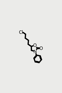 O=C1OC(CCCCCl)CN1c1ccccc1